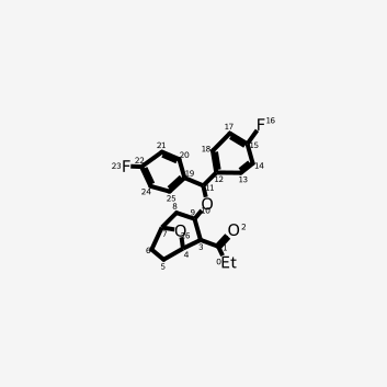 CCC(=O)C1C2CCC(CC1OC(c1ccc(F)cc1)c1ccc(F)cc1)O2